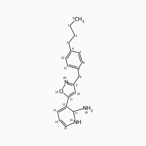 CCCCc1ccc(Cc2cc(C3=CC=CNC3N)on2)cc1